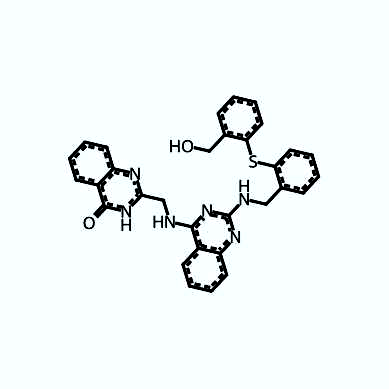 O=c1[nH]c(CNc2nc(NCc3ccccc3Sc3ccccc3CO)nc3ccccc23)nc2ccccc12